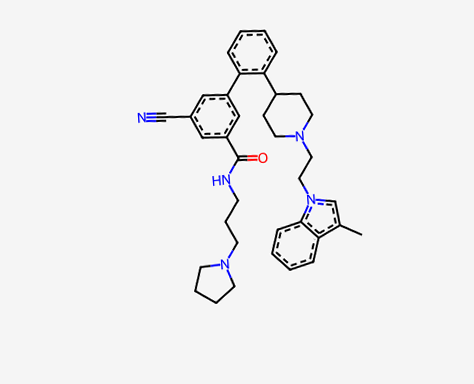 Cc1cn(CCN2CCC(c3ccccc3-c3cc(C#N)cc(C(=O)NCCCN4CCCC4)c3)CC2)c2ccccc12